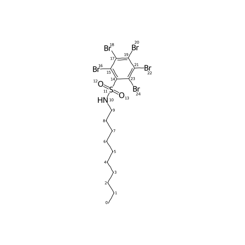 CCCCCCCCCCNS(=O)(=O)c1c(Br)c(Br)c(Br)c(Br)c1Br